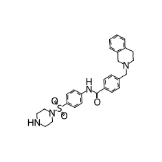 O=C(Nc1ccc(S(=O)(=O)N2CCNCC2)cc1)c1ccc(CN2CCc3ccccc3C2)cc1